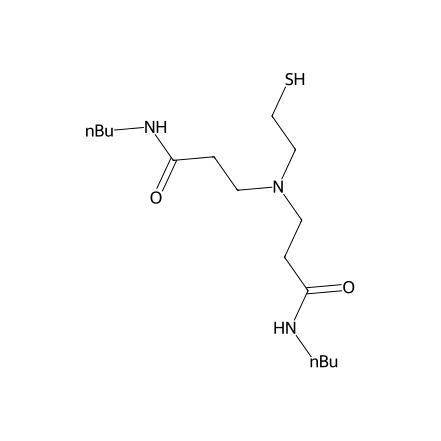 CCCCNC(=O)CCN(CCS)CCC(=O)NCCCC